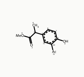 COC(=O)C(C)c1ccc(O)c(C(C)=O)c1